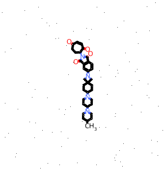 CC1CCN(C2CCN(C3CCC4(CC3)CN(c3ccc5c(c3)C(=O)N(C3CCC(=O)C=CC3=O)C5=O)C4)CC2)CC1